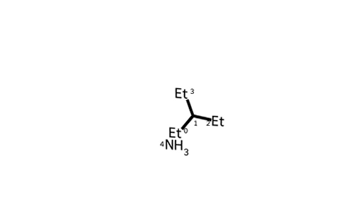 CCC(CC)CC.N